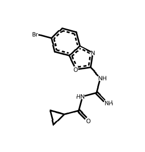 N=C(NC(=O)C1CC1)Nc1nc2ccc(Br)cc2o1